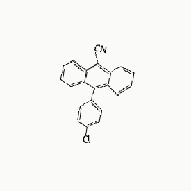 N#Cc1c2ccccc2c(-c2ccc(Cl)cc2)c2ccccc12